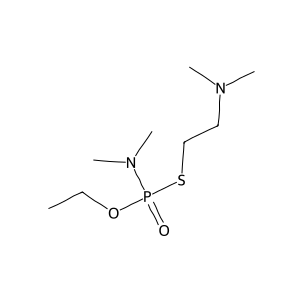 CCOP(=O)(SCCN(C)C)N(C)C